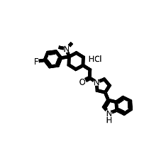 CN(C)C1(c2ccc(F)cc2)CCC(CC(=O)N2CCC(c3c[nH]c4ccccc34)C2)CC1.Cl